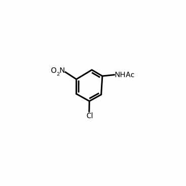 CC(=O)Nc1cc(Cl)cc([N+](=O)[O-])c1